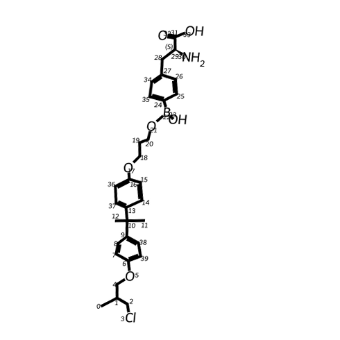 CC(CCl)COc1ccc(C(C)(C)c2ccc(OCCCOB(O)c3ccc(C[C@H](N)C(=O)O)cc3)cc2)cc1